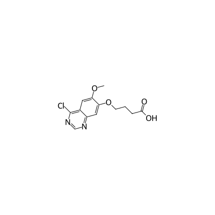 COc1cc2c(Cl)ncnc2cc1OCCCC(=O)O